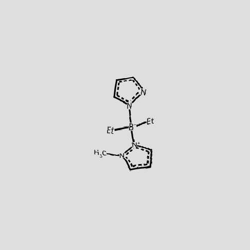 CC[B-](CC)(n1cccn1)[n+]1cccn1C